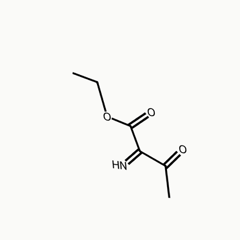 CCOC(=O)C(=N)C(C)=O